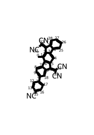 Cc1c2c(cc3c1-c1ccc(-c4ccc(C#N)cc4)cc1C3=C(C#N)C#N)-c1ccccc1C2=C(C#N)C#N